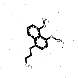 CCCCc1ccc(OC)c2c(OC)cccc12